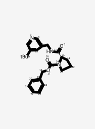 CC(C)(C)c1cncc(CNC(=O)[C@@H]2CCCN2C(=O)OCc2ccccc2)c1